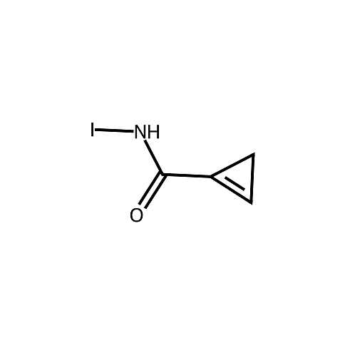 O=C(NI)C1=CC1